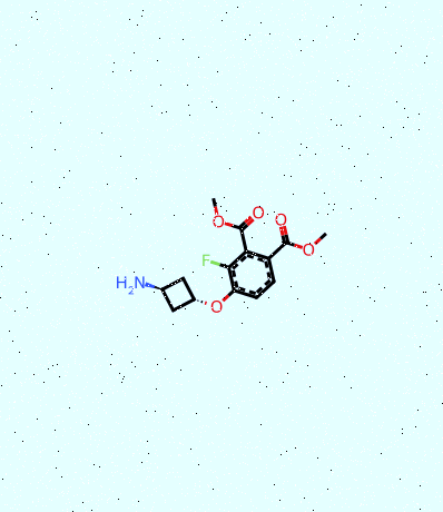 COC(=O)c1ccc(O[C@H]2C[C@H](N)C2)c(F)c1C(=O)OC